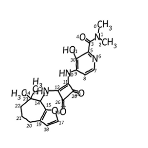 CN(C)C(=O)c1nccc(Nc2c(NC3c4occc4CCCC3(C)C)c(=O)c2=O)c1O